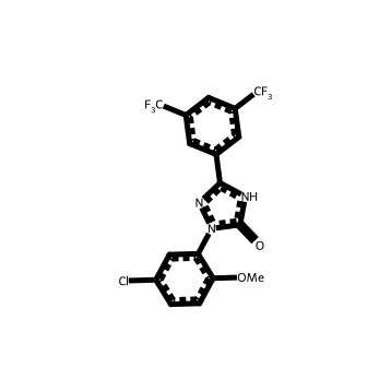 COc1ccc(Cl)cc1-n1nc(-c2cc(C(F)(F)F)cc(C(F)(F)F)c2)[nH]c1=O